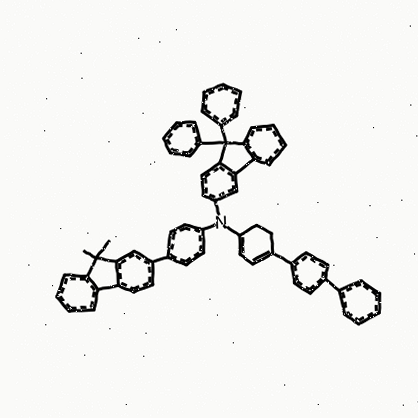 CC1(C)c2ccccc2-c2ccc(-c3ccc(N(C4=CC=C(c5ccc(-c6ccccc6)cc5)CC4)c4ccc5c(c4)-c4ccccc4C5(c4ccccc4)c4ccccc4)cc3)cc21